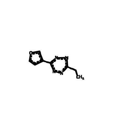 CCc1nnc(-c2ccoc2)nn1